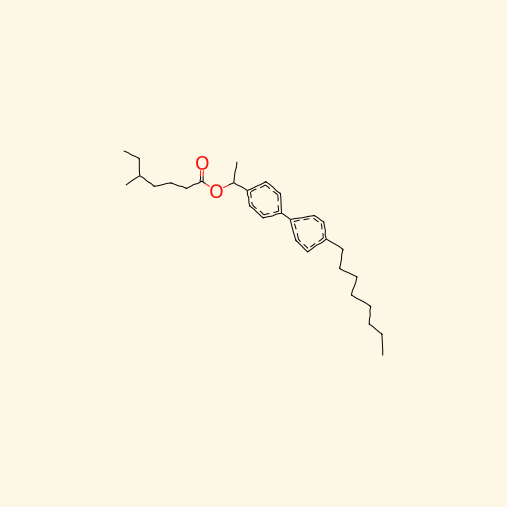 CCCCCCCCc1ccc(-c2ccc(C(C)OC(=O)CCCC(C)CC)cc2)cc1